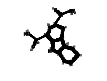 NC(=O)c1cc2c([nH]c3ccccc32)c(C(=O)O)n1